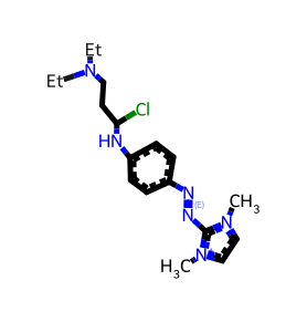 CCN(CC)CCC(Cl)Nc1ccc(/N=N/c2n(C)cc[n+]2C)cc1